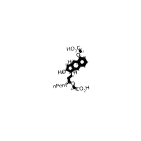 CCCCC[C@@H](CC[C@@H]1[C@H]2Cc3cccc(OCC(=O)O)c3C[C@H]2C[C@H]1O)OCC(=O)O